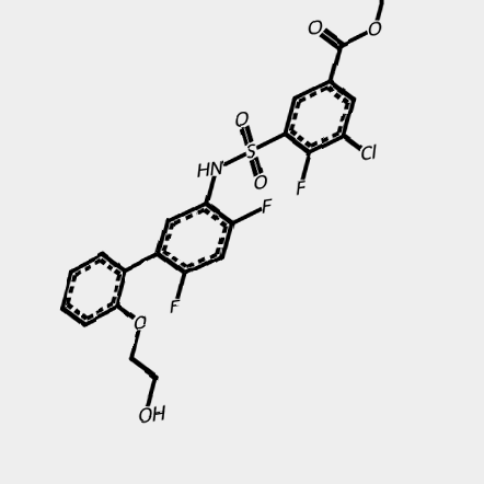 COC(=O)c1cc(Cl)c(F)c(S(=O)(=O)Nc2cc(-c3ccccc3OCCO)c(F)cc2F)c1